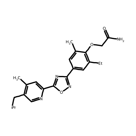 CCc1cc(-c2noc(-c3cc(C)c(CC(C)C)cn3)n2)cc(C)c1OCC(N)=O